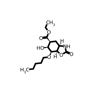 CCCCCO[C@H]1[C@@H](O)[C@@H](C(=O)OCC)C[C@H]2NC(=O)O[C@@H]12